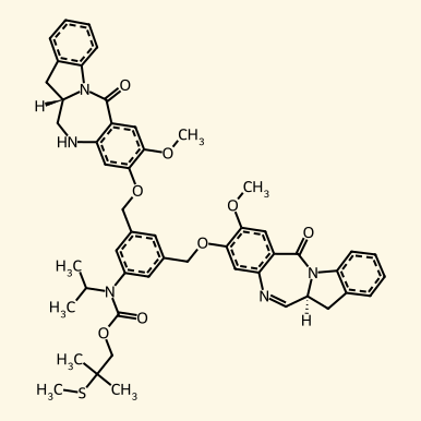 COc1cc2c(cc1OCc1cc(COc3cc4c(cc3OC)C(=O)N3c5ccccc5C[C@H]3CN4)cc(N(C(=O)OCC(C)(C)SC)C(C)C)c1)N=C[C@@H]1Cc3ccccc3N1C2=O